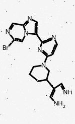 N=C/C(=C\N)C1CCCN(c2ccnc(-c3cnc4cnc(Br)cn34)n2)C1